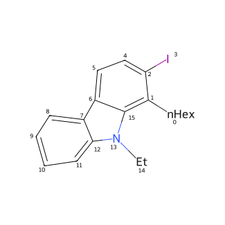 CCCCCCc1c(I)ccc2c3ccccc3n(CC)c12